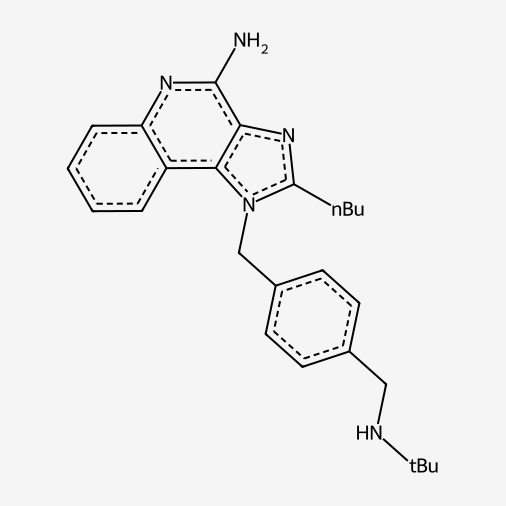 CCCCc1nc2c(N)nc3ccccc3c2n1Cc1ccc(CNC(C)(C)C)cc1